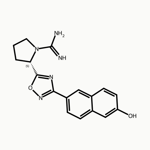 N=C(N)N1CCC[C@H]1c1nc(-c2ccc3cc(O)ccc3c2)no1